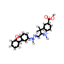 COC(=O)c1ccc2c(c1)C(C)(C)C(C=NN(C)c1ccc3oc4ccccc4c3c1)=[N+]2C